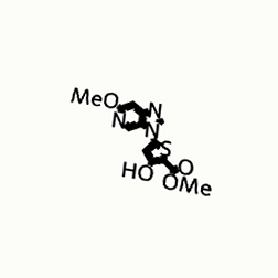 COC(=O)c1sc(-n2cnc3cc(OC)ncc32)cc1O